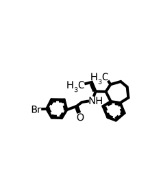 CC=C(NCC(=O)c1ccc(Br)cc1)C1c2ccccc2CCCC1C